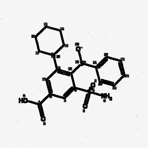 NS(=O)(=O)c1cc(C(=O)O)cc(N2CCCCC2)c1[S+]([O-])c1ccccc1